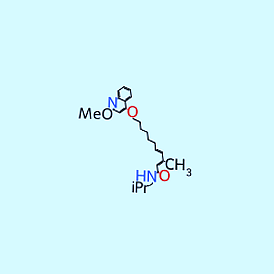 COc1cc(OCCCCCCC=CC(C)=CC(=O)NCC(C)C)c2ccccc2n1